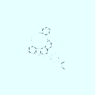 C=CC(=O)N1C[C@H](C)N(c2nc(=O)n3c4nc(c(F)cc24)-c2cccc(C(F)(F)F)c2OCCOc2ccnc(C(C)C)c2-3)C[C@H]1C